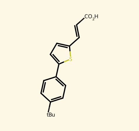 CC(C)(C)c1ccc(-c2ccc(/C=C/C(=O)O)s2)cc1